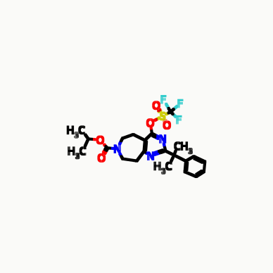 CC(C)OC(=O)N1CCc2nc(C(C)(C)c3ccccc3)nc(OS(=O)(=O)C(F)(F)F)c2CC1